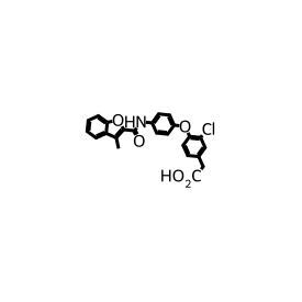 Cc1c(C(=O)Nc2ccc(Oc3ccc(CC(=O)O)cc3Cl)cc2)oc2ccccc12